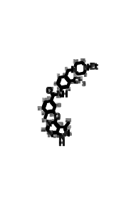 CCN1CCN(Cc2ccc(NC(=O)c3ccc(C)c(Oc4ncnc5[nH]nc(C)c45)c3)cc2C(F)(F)F)CC1